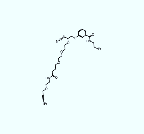 CC(C)C#CCOCCNC(=O)CCCOCCOCCOC(COc1cccc(C(=O)NCCC(C)C)c1)N=[N+]=[N-]